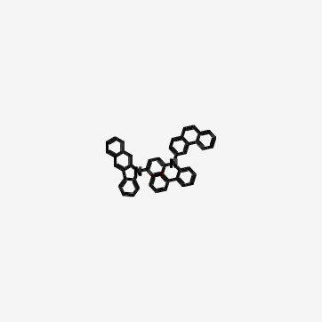 c1ccc(-c2ccccc2N(c2ccc(-n3c4ccccc4c4cc5ccccc5cc43)cc2)c2ccc3ccc4ccccc4c3c2)cc1